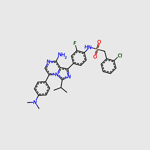 CC(C)c1nc(-c2ccc(NS(=O)(=O)Cc3ccccc3Cl)c(F)c2)c2c(N)ncc(-c3ccc(N(C)C)cc3)n12